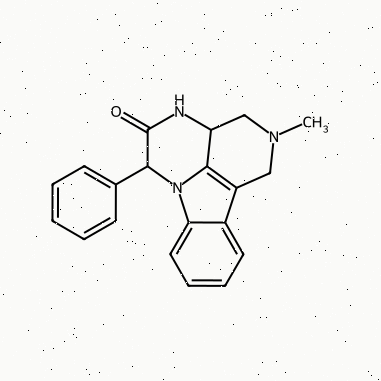 CN1Cc2c3n(c4ccccc24)C(c2ccccc2)C(=O)NC3C1